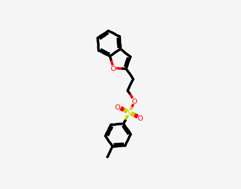 Cc1ccc(S(=O)(=O)OCCc2cc3ccccc3o2)cc1